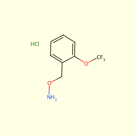 Cl.NOCc1ccccc1OC(F)(F)F